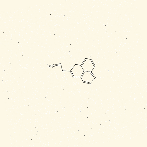 C=CCC1=Cc2cccc3cccc(c23)C1